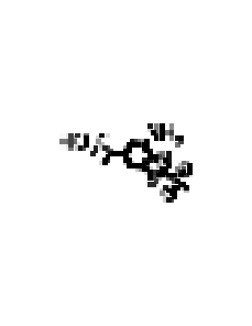 CC(C(=O)O)c1cc(N)c2nc(S(C)(=O)=O)sc2c1